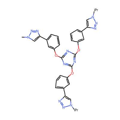 CC(C)n1cc(-c2cccc(Oc3nc(Oc4cccc(-c5cn(C)nn5)c4)nc(Oc4cccc(-c5cn(C(C)C)nn5)c4)n3)c2)nn1